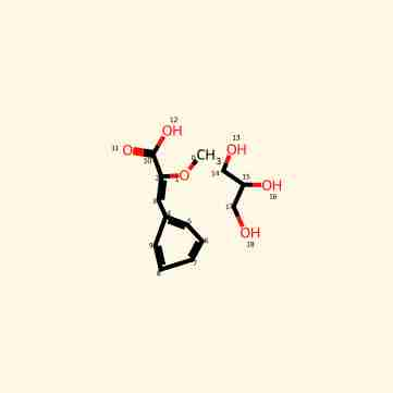 COC(=Cc1ccccc1)C(=O)O.OCC(O)CO